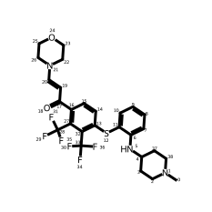 CN1CCC(Nc2ccccc2Sc2ccc(C(=O)C=CN3CCOCC3)c(C(F)(F)F)c2C(F)(F)F)CC1